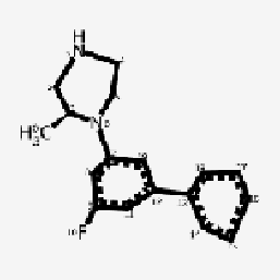 C[C@H]1CNCCN1c1cc(F)cc(-c2ccccc2)c1